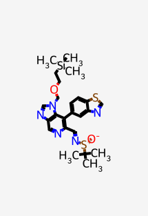 CC(C)(C)[S+]([O-])/N=C/c1ncc2ncn(COCC[Si](C)(C)C)c2c1-c1ccc2scnc2c1